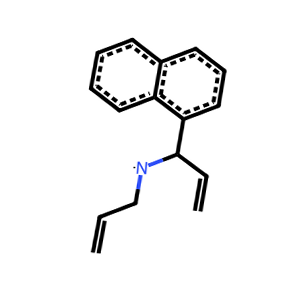 C=CC[N]C(C=C)c1cccc2ccccc12